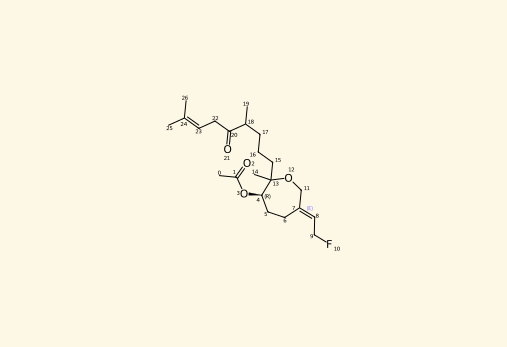 CC(=O)O[C@@H]1CC/C(=C\CF)COC1(C)CCCC(C)C(=O)CC=C(C)C